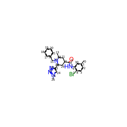 Cc1ccc(Br)c(NC(=O)C2C[C@H](C)N(Cc3ccccc3)[C@H](c3cn(C)nn3)C2)c1